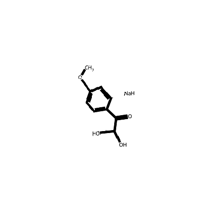 COc1ccc(C(=O)C(O)O)cc1.[NaH]